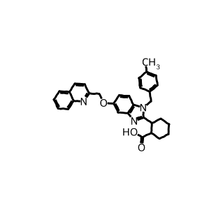 Cc1ccc(Cn2c(C3CCCCC3C(=O)O)nc3cc(OCc4ccc5ccccc5n4)ccc32)cc1